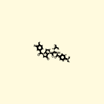 Cc1ccc(C(=O)N2CC(=O)C3C2CCN3C(=O)[C@H](CC(C)C)NC(=O)c2ccc(N(C)C)cc2)cc1F